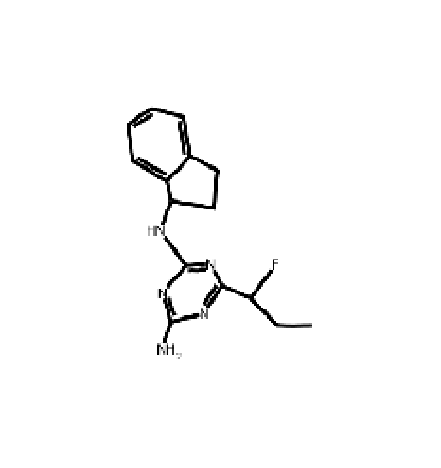 CCC(F)c1nc(N)nc(NC2CCc3ccccc32)n1